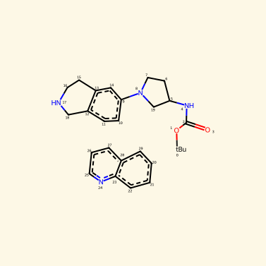 CC(C)(C)OC(=O)NC1CCN(c2ccc3c(c2)CCNC3)C1.c1ccc2ncccc2c1